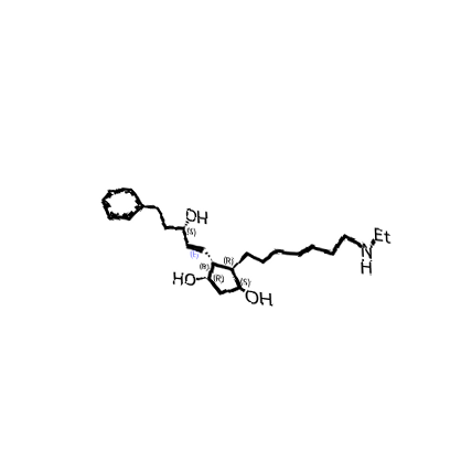 CCNCCCCCCC[C@@H]1[C@@H](/C=C/[C@@H](O)CCc2ccccc2)[C@H](O)C[C@@H]1O